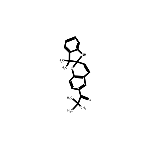 CC(C)(C)C(=O)c1ccc2c(c1)C=CC1(Nc3ccccc3C1(C)C)O2